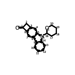 O=C1Cc2cc3c(cc21)c1ccccc1n3C1CCCCO1